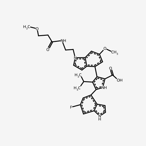 COCCC(=O)NCCn1ccc2c(-c3c(C(=O)O)[nH]c(-c4cc(F)cc5[nH]ccc45)c3C(C)C)cc(OC)cc21